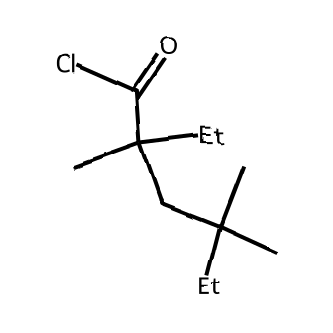 CCC(C)(C)CC(C)(CC)C(=O)Cl